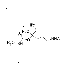 CBC(C)OC(C)(CCCNC(C)=O)CC(C)C